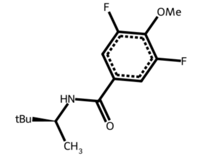 COc1c(F)cc(C(=O)N[C@@H](C)C(C)(C)C)cc1F